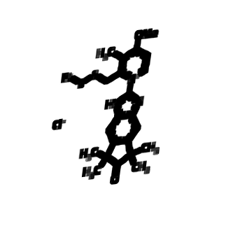 CCSSCc1c(C)c(OC)cc[n+]1-c1nc2cc3c(cc2[nH]1)C(C)(C)C(=O)C3(C)C.[Cl-]